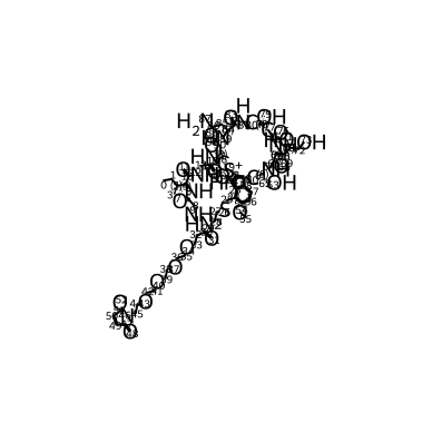 CC[C@H](C)[C@H](NC(=O)CN)C(=O)NCC(=O)N[C@H]1C[S+]([O-])c2[nH]c3c(CSCCNC(=O)CCOCCOCCOCCOCCN4C(=O)C=CC4=O)c(OC)ccc3c2C[C@@H](CO)NC(=O)[C@H]([C@@H](C)[C@@H](O)CO)NC(=O)C[C@@H](O)CNC(=O)[C@H](CC(N)=O)NC1=O